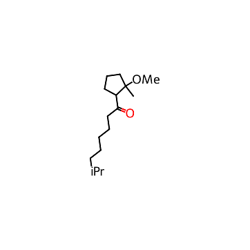 COC1(C)CCCC1C(=O)CCCCCC(C)C